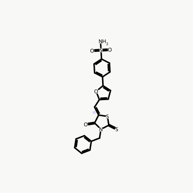 NS(=O)(=O)c1ccc(-c2ccc(/C=C3\SC(=S)N(Cc4ccccc4)C3=O)o2)cc1